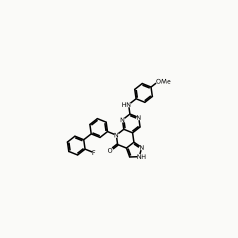 COc1ccc(Nc2ncc3c4n[nH]cc4c(=O)n(-c4cccc(-c5ccccc5F)c4)c3n2)cc1